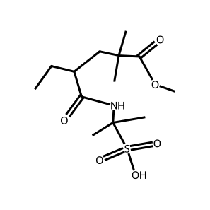 CCC(CC(C)(C)C(=O)OC)C(=O)NC(C)(C)S(=O)(=O)O